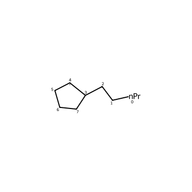 CCCCCC1[CH]CCC1